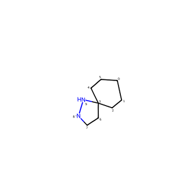 C1CCC2(CC1)CC[N]N2